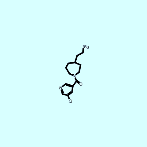 CC(C)(C)CCC1CCCN(C(=O)c2cncc(Cl)c2)CC1